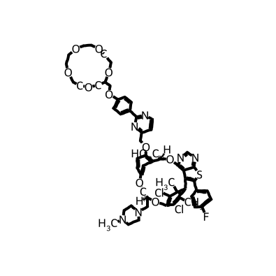 Cc1c(Cl)c2c(Cl)c(C)c1-c1c(-c3ccc(F)cc3)sc3ncnc(c13)O[C@@H](C(=O)O)c1cc(ccc1OCc1ccnc(-c3ccc(OCC4COCCOCCOCCOCCO4)cc3)n1)OC[C@@H](CN1CCN(C)CC1)O2